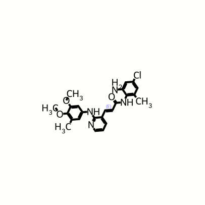 COc1cc(Nc2ncccc2/C=C/C(=O)Nc2c(C)cc(Cl)cc2N)cc(C)c1OC